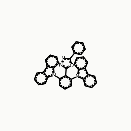 c1ccc(-c2nnc(-c3c(-n4c5ccccc5c5ccccc54)cccc3-n3c4ccccc4c4ccccc43)o2)cc1